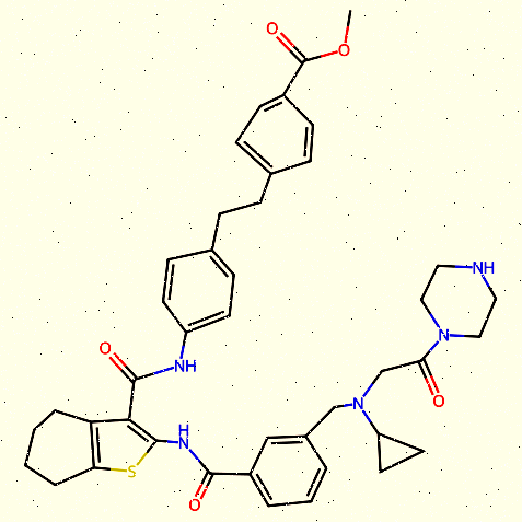 COC(=O)c1ccc(CCc2ccc(NC(=O)c3c(NC(=O)c4cccc(CN(CC(=O)N5CCNCC5)C5CC5)c4)sc4c3CCCC4)cc2)cc1